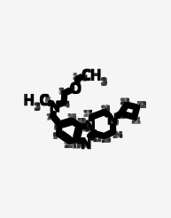 CCOCCN(C)Cc1ccc2nc3n(c2c1)CCN(C1CCC1)CC3